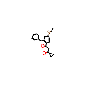 CCSc1ccc(C(=O)CC(=O)C2CC2)c(Cc2ccccc2)c1